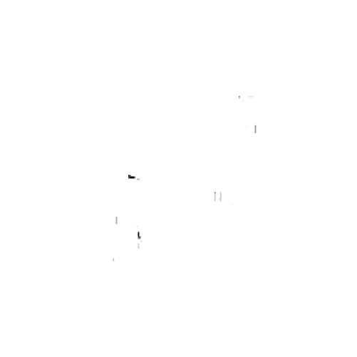 COC1(O)C=C2CC[C@@H]3[C@H](CC[C@]4(C)C(=O)CC[C@@H]34)C2=C(N)C1